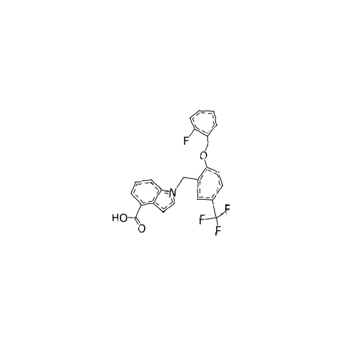 O=C(O)c1cccc2c1ccn2Cc1cc(C(F)(F)F)ccc1OCc1ccccc1F